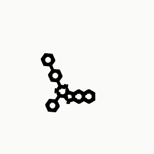 c1ccc(-c2ccc(-c3nc(-c4ccccc4)c4sc5cc6ccccc6cc5c4n3)cc2)cc1